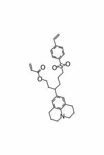 C=CC(=O)OCCC(CCCS(=O)(=O)c1ccc(C=C)cc1)c1cc2c3c(c1)CCCN3CCC2